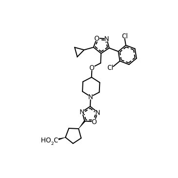 O=C(O)[C@@H]1CC[C@H](c2nc(N3CCC(OCc4c(-c5c(Cl)cccc5Cl)noc4C4CC4)CC3)no2)C1